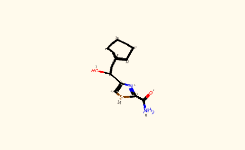 NC(=O)c1nc(C(O)C2CCCC2)cs1